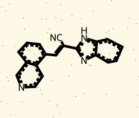 N#C/C(=C\c1cccc2cnccc12)c1nc2ccccc2[nH]1